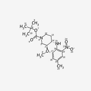 CO[C@H]1CN(C(=O)OC(C)(C)C)CC[C@@H]1Nc1ccc(C)cc1[N+](=O)[O-]